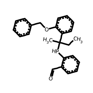 CCC(C)(Pc1ccccc1C=O)c1ccccc1OCc1ccccc1